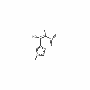 C[C@H]([C@H](O)c1cn(C)cn1)[SH](=O)=O